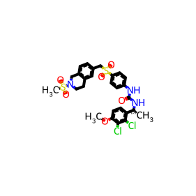 COc1ccc([C@H](C)NC(=O)Nc2ccc(S(=O)(=O)Cc3ccc4c(c3)CCN(S(C)(=O)=O)C4)cc2)c(Cl)c1Cl